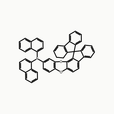 C1=CC2=C(CC1)C1(c3ccccc32)c2ccccc2-c2ccc3c(c21)Oc1cc(N(c2cccc4ccccc24)c2cccc4ccccc24)ccc1O3